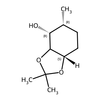 C[C@@H]1CC[C@@H]2OC(C)(C)OC2[C@@H]1O